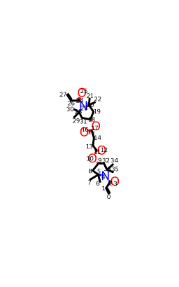 C=CC(=O)N1C(C)(C)CC(OC(=O)CCC(=O)OC2CC(C)(C)N(C(=O)C=C)C(C)(C)C2)CC1(C)C